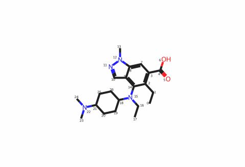 CCc1c(C(=O)O)cc2c(cnn2C)c1N(CC)C1CCC(N(C)C)CC1